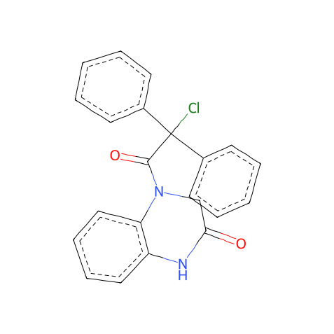 O=C1CN(C(=O)C(Cl)(c2ccccc2)c2ccccc2)c2ccccc2N1